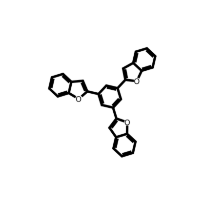 c1ccc2oc(-c3cc(-c4cc5ccccc5o4)cc(-c4cc5ccccc5o4)c3)cc2c1